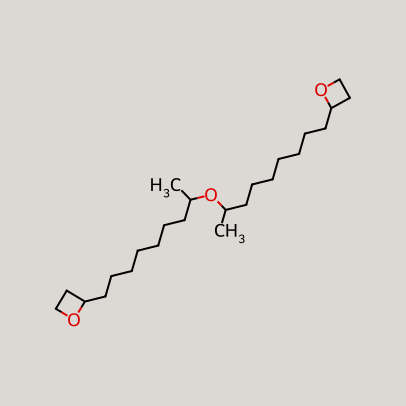 CC(CCCCCCCC1CCO1)OC(C)CCCCCCCC1CCO1